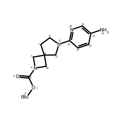 CC(C)(C)OC(=O)N1CC2(CCN(c3ccc(N)cn3)C2)C1